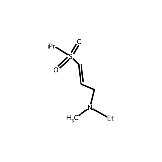 CCN(C)C/C=C/S(=O)(=O)C(C)C